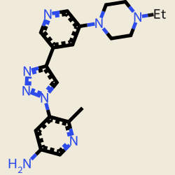 CCN1CCN(c2cncc(-c3cn(-c4cc(N)cnc4C)nn3)c2)CC1